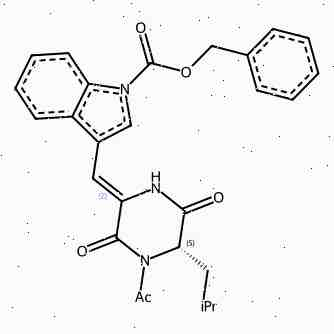 CC(=O)N1C(=O)/C(=C/c2cn(C(=O)OCc3ccccc3)c3ccccc23)NC(=O)[C@@H]1CC(C)C